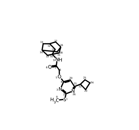 CSc1nc(OCC(=O)NC23CC4CC(CC(C4)C2)C3)cc(C2CCC2)n1